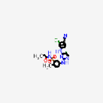 CCC(=O)NS(=O)(=O)c1cc(Nc2ncc(F)c(Nc3cc4c(C#N)c(Cl)c3CC4)n2)ccc1C